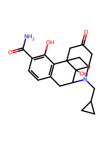 NC(=O)c1ccc2c(c1O)C13CCN(CC4CC4)C(C2)C1(O)CCC(=O)C3